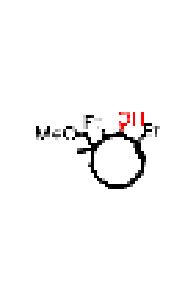 CCC1=CCCCCCC(C)(COC)C(CC)C1O